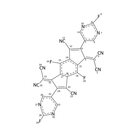 N#CC(C#N)=C1C(c2cnc(F)nc2)=C(C#N)c2c(F)c3c(c(F)c21)C(C#N)=C(c1cnc(F)nc1)C3=C(C#N)C#N